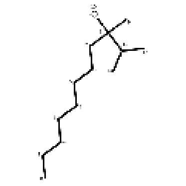 CCCCCCCCC(C)([O])C(C)C